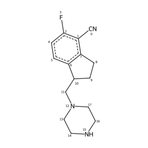 N#Cc1c(F)ccc2c1CCC2CN1CCNCC1